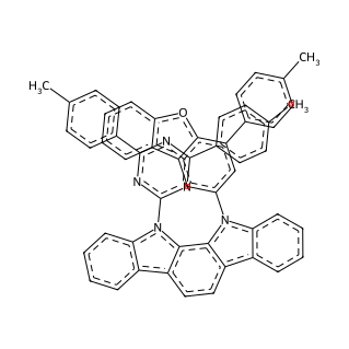 Cc1ccc(-c2nc(-c3ccc(C)cc3)nc(-n3c4ccccc4c4ccc5c6ccccc6n(-c6cc(-c7ccc(C)cc7)c7oc8ccccc8c7c6)c5c43)n2)cc1